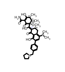 C[C@@H]1Cc2c(N(C)C)cc(-c3ccc(CN4CCCC4)cc3)c(O)c2C(=O)/C1=C(\O)[C@]1(O)C(=O)C(C(N)=O)=C(O)[C@H](C)[C@@H]1C